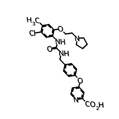 Cc1cc(OCCN2CCCC2)c(NC(=O)NCc2ccc(Oc3ccnc(C(=O)O)c3)cc2)cc1Cl